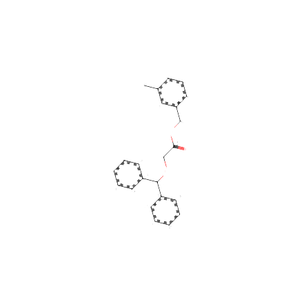 Cc1cccc(COC(=O)COC(c2ccccc2)c2ccccc2)c1